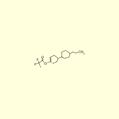 CCCC1CCC(C2CC=C(OC(=O)C(F)(F)F)CC2)CC1